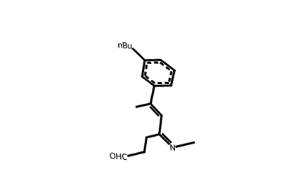 CCCCc1cccc(/C(C)=C/C(CCC=O)=N\C)c1